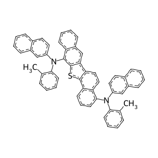 Cc1ccccc1N(c1ccc2ccccc2c1)c1cccc2c1ccc1c3cc4ccccc4c(N(c4ccc5ccccc5c4)c4ccccc4C)c3sc21